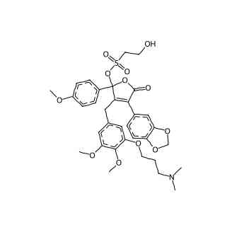 COc1ccc(C2(OS(=O)(=O)CCO)OC(=O)C(c3ccc4c(c3)OCO4)=C2Cc2cc(OC)c(OC)c(OCCCN(C)C)c2)cc1